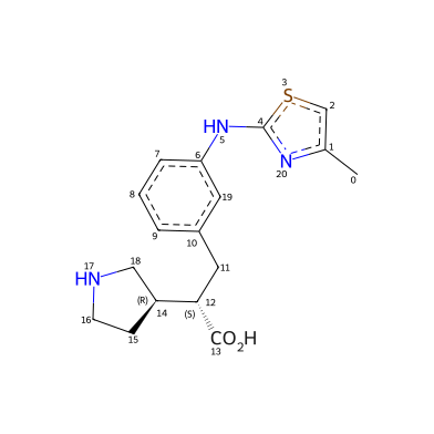 Cc1csc(Nc2cccc(C[C@H](C(=O)O)[C@H]3CCNC3)c2)n1